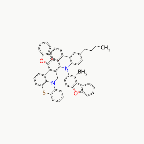 Bc1c(N(c2ccc(CCCC)cc2-c2ccccc2)c2cc3c(oc4ccccc43)c3c2CN2c4ccccc4Sc4cccc-3c42)ccc2oc3ccccc3c12